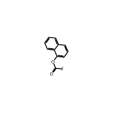 O=C(F)Oc1cccc2ccccc12